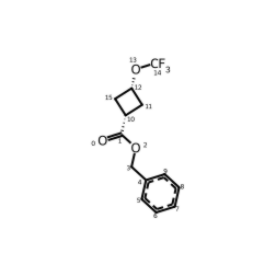 O=C(OCc1ccccc1)[C@H]1C[C@@H](OC(F)(F)F)C1